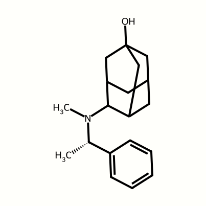 C[C@@H](c1ccccc1)N(C)C1C2CC3CC1CC(O)(C3)C2